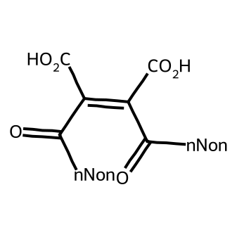 CCCCCCCCCC(=O)C(C(=O)O)=C(C(=O)O)C(=O)CCCCCCCCC